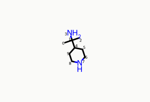 CC(C)(N)C1CCNCC1